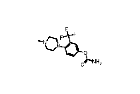 CN1CCN(c2ccc(OC(N)=O)cc2C(F)(F)F)CC1